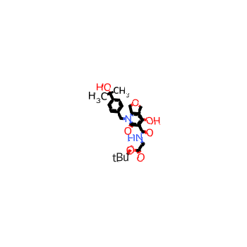 CC(C)(C)OC(=O)CNC(=O)c1c(O)c2c(n(Cc3ccc(C(C)(C)O)cc3)c1=O)COC2